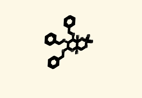 O=S1(=O)OC[C@H]2O[C@@H](OCc3ccccc3)[C@H](OCc3ccccc3)[C@@H](OCc3ccccc3)[C@@H]2O1